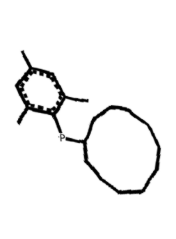 Cc1cc(C)c([P]C2CCCCCCCCCC2)c(C)c1